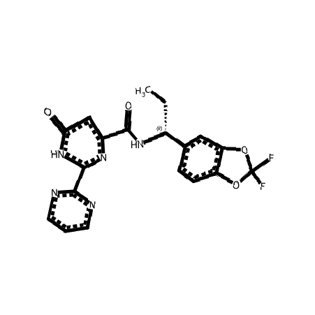 CC[C@@H](NC(=O)c1cc(=O)[nH]c(-c2ncccn2)n1)c1ccc2c(c1)OC(F)(F)O2